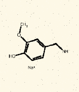 COc1cc(C[NH-])ccc1O.[Na+]